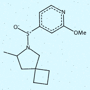 COc1cc([S+]([O-])N2CC3(CCC3)CC2C)ccn1